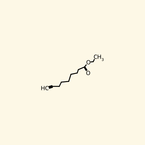 C#CCCCCCCC(=O)OCC